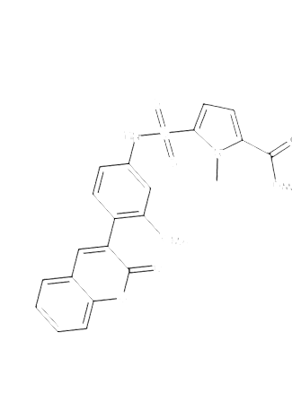 COC(=O)c1ccc(S(=O)(=O)Nc2ccc(-c3cc4ccccc4oc3=O)c(OC)c2)n1C